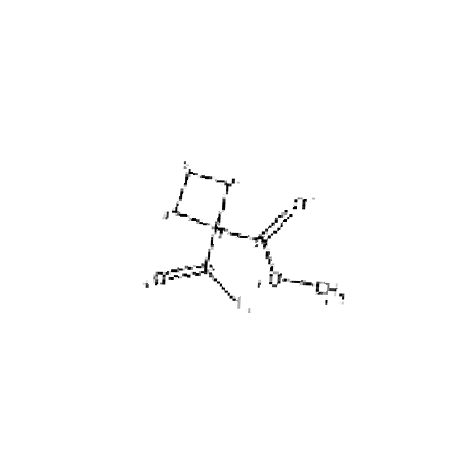 COC(=O)C1(C(=O)I)CCC1